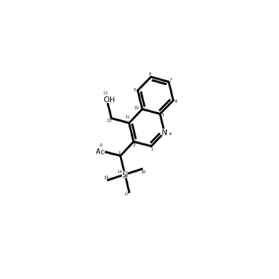 CC(=O)C(c1cnc2ccccc2c1CO)[Si](C)(C)C